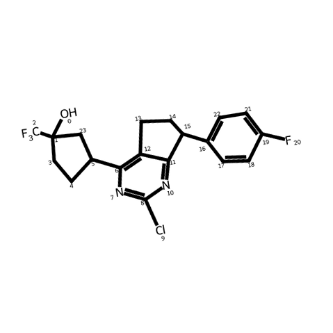 OC1(C(F)(F)F)CCC(c2nc(Cl)nc3c2CCC3c2ccc(F)cc2)C1